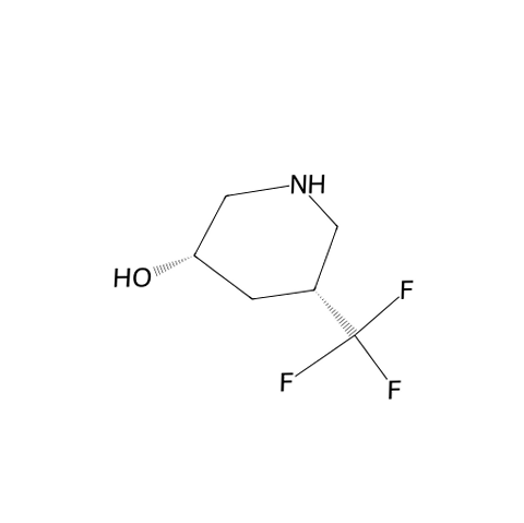 O[C@@H]1CNC[C@H](C(F)(F)F)C1